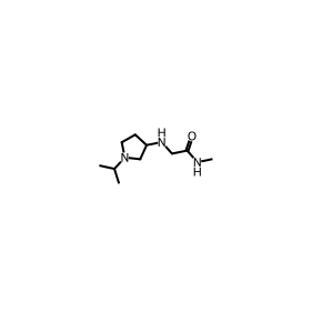 CNC(=O)CNC1CCN(C(C)C)C1